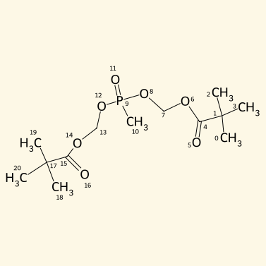 CC(C)(C)C(=O)OCOP(C)(=O)OCOC(=O)C(C)(C)C